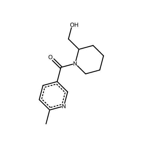 Cc1ccc(C(=O)N2CCCCC2CO)cn1